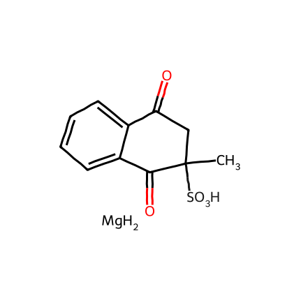 CC1(S(=O)(=O)O)CC(=O)c2ccccc2C1=O.[MgH2]